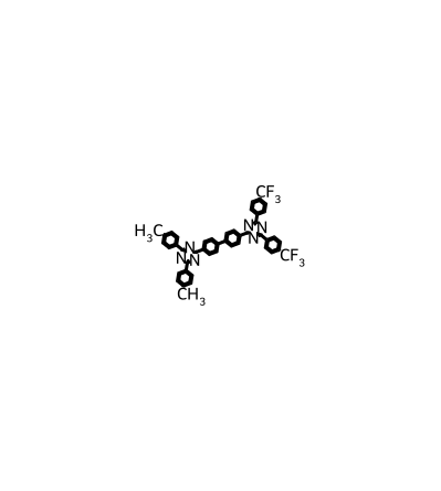 Cc1ccc(-c2nc(-c3ccc(C)cc3)nc(-c3ccc(-c4ccc(-c5nc(-c6ccc(C(F)(F)F)cc6)nc(-c6ccc(C(F)(F)F)cc6)n5)cc4)cc3)n2)cc1